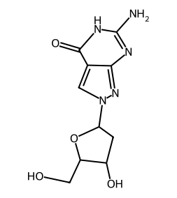 Nc1nc2nn(C3CC(O)C(CO)O3)cc2c(=O)[nH]1